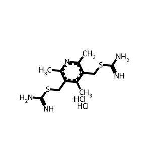 Cc1nc(C)c(CSC(=N)N)c(C)c1CSC(=N)N.Cl.Cl